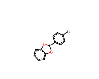 CCc1ccc(B2Oc3ccccc3O2)cc1